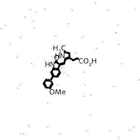 COc1cccc(-c2ccc3c(c2)NC(=O)/C3=C\C2=C(CCC(=O)O)CC(C)N2)c1